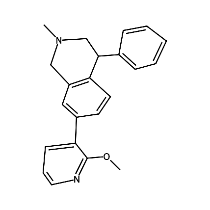 COc1ncccc1-c1ccc2c(c1)CN(C)CC2c1ccccc1